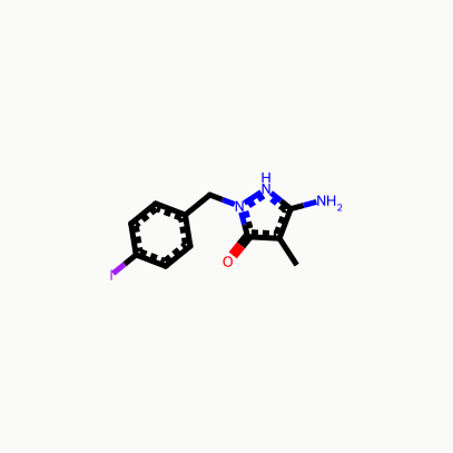 Cc1c(N)[nH]n(Cc2ccc(I)cc2)c1=O